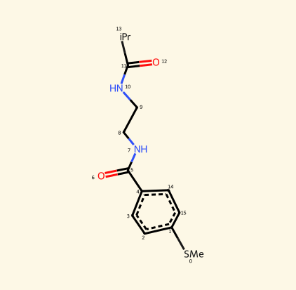 CSc1ccc(C(=O)NCCNC(=O)C(C)C)cc1